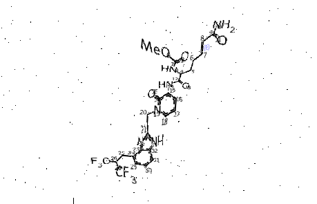 COC(=O)NC(CC/C=C/C(N)=O)C(=O)Nc1cccn(Cc2nc3c(CC(C(F)(F)F)C(F)(F)F)cccc3[nH]2)c1=O